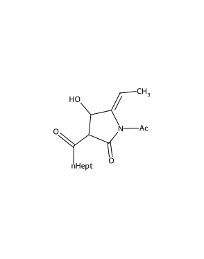 CC=C1C(O)C(C(=O)CCCCCCC)C(=O)N1C(C)=O